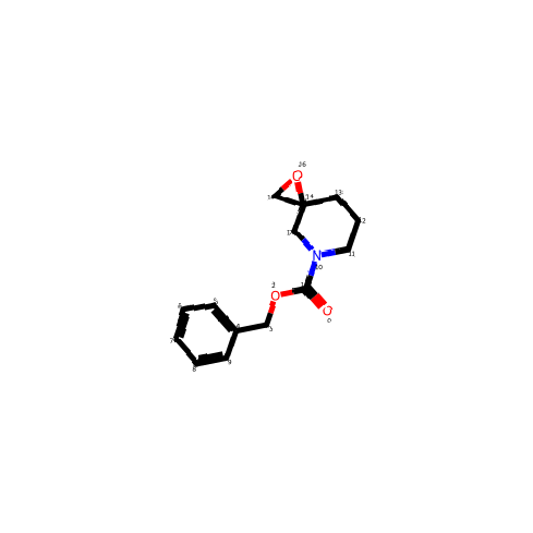 O=C(OCc1ccccc1)N1CCCC2(CO2)C1